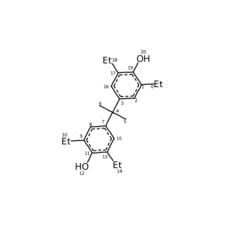 CCc1cc(C(C)(C)c2cc(CC)c(O)c(CC)c2)cc(CC)c1O